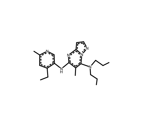 CCCN(CCC)c1c(C)c(Nc2cnc(C)cc2CC)nc2ccnn12